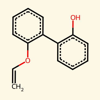 C=COc1ccccc1-c1ccccc1O